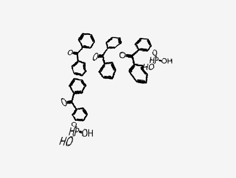 O=C(c1ccccc1)c1ccccc1.O=C(c1ccccc1)c1ccccc1.O=C(c1ccccc1)c1ccccc1.O=C(c1ccccc1)c1ccccc1.O=[PH](O)O.O=[PH](O)O